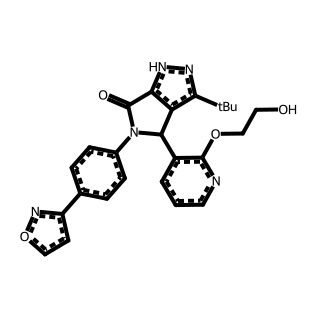 CC(C)(C)c1n[nH]c2c1C(c1cccnc1OCCO)N(c1ccc(-c3ccon3)cc1)C2=O